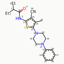 CCC(CC)C(=O)Nc1sc(N2CCN(c3ccccc3)CC2)c(C)c1C#N